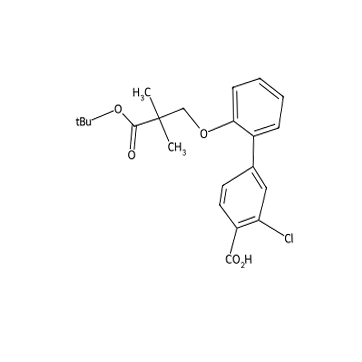 CC(C)(C)OC(=O)C(C)(C)COc1ccccc1-c1ccc(C(=O)O)c(Cl)c1